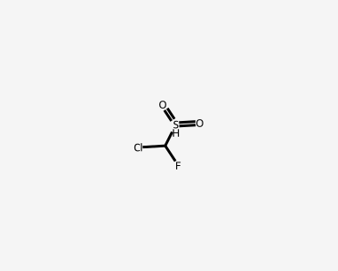 O=[SH](=O)C(F)Cl